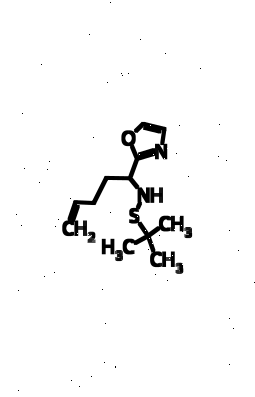 C=CCCC(NSC(C)(C)C)c1ncco1